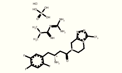 CN(C)C(=N)N=C(N)N.Cl.N[C@@H](CC(=O)N1CCn2c(nnc2C(F)(F)F)C1)Cc1cc(F)c(F)cc1F.O=P(O)(O)O